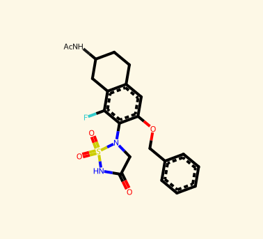 CC(=O)NC1CCc2cc(OCc3ccccc3)c(N3CC(=O)NS3(=O)=O)c(F)c2C1